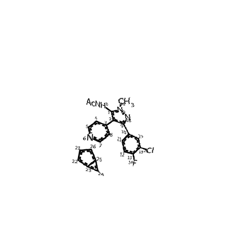 CC(=O)Nc1c(-c2ccncc2)c(-c2ccc(F)c(Cl)c2)nn1C.c1cc2cc-2c1